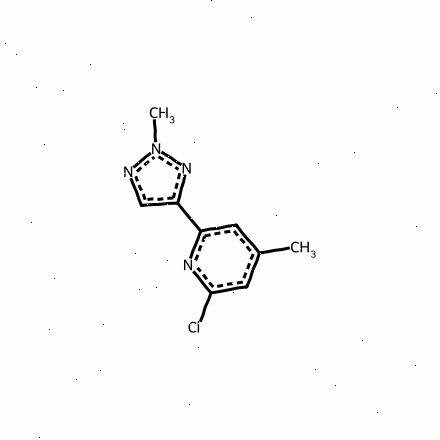 Cc1cc(Cl)nc(-c2cnn(C)n2)c1